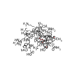 CC(C)C[C@H](NC(=O)[C@H](C)NC(=O)[C@H](CCCCN)NC(=O)[C@@H](NC(=O)[C@H](CCCCN)NC(=O)[C@H](CCC(=O)O)NC(=O)[C@H](CC(C)C)NC(=O)[C@H](Cc1c[nH]cn1)NC(=O)[C@H](CC(=O)O)NC(=O)[C@H](CCC(N)=O)NC(=O)[C@H](CC(C)C)NC(=O)[C@@H](N)CO)C(C)C)C(=O)N[C@@H](CCCNC(=N)N)C(=O)NCC(=O)N[C@@H](CCC(=O)O)C(=O)O